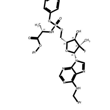 CC(C)CNc1ncnc2c1ncn2[C@@H]1O[C@H](COP(=O)(N[C@@H](C)C(=O)OC(C)C)Oc2ccccc2)[C@@H](O)[C@@]1(C)F